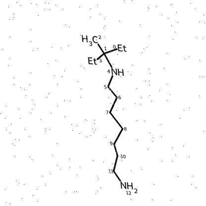 CCC(C)(CC)NCCCCCCCN